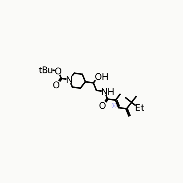 C=C(/C=C(\C)C(=O)NCC(O)C1CCN(C(=O)OC(C)(C)C)CC1)C(C)(C)CC